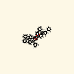 c1ccc(-c2ccc3c4ccc(-c5ccccc5)cc4n(-c4ccccc4-c4ccc(-c5ccc(N(c6ccccc6)c6ccc7c(c6)C6(c8ccccc8-c8ccccc86)c6ccccc6-7)cc5)cc4)c3c2)cc1